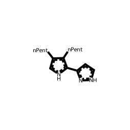 CCCCCc1c[nH]c(-c2cc[nH]n2)c1CCCCC